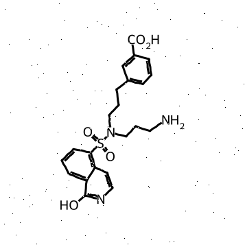 NCCCN(CCCc1cccc(C(=O)O)c1)S(=O)(=O)c1cccc2c(O)nccc12